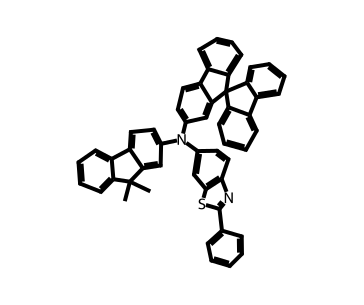 CC1(C)c2ccccc2-c2ccc(N(c3ccc4c(c3)C3(c5ccccc5-c5ccccc53)c3ccccc3-4)c3ccc4nc(-c5ccccc5)sc4c3)cc21